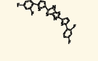 Fc1ccc(-c2ccc(-c3nc4sc(-c5ccc(-c6ccc(F)cc6F)s5)nc4s3)s2)c(F)c1